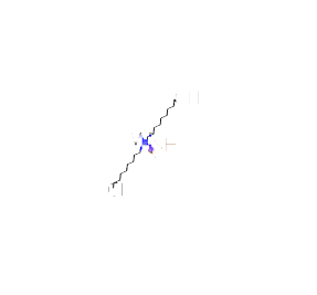 CCCCCCCCCCN(CCCCCCCCCC)C(=S)S.[W]